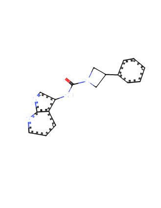 O=C(Nc1c[nH]c2ncccc12)N1CC(c2ccccc2)C1